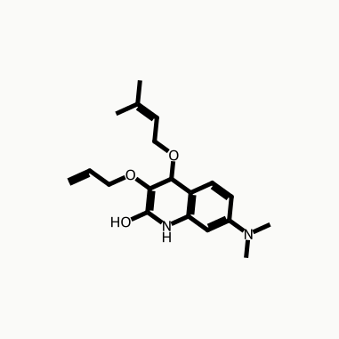 C=CCOC1=C(O)Nc2cc(N(C)C)ccc2C1OCC=C(C)C